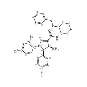 C[C@@H]1C(C(=O)N[C@H]2CCCC[C@@H]2OCc2ccccc2)=NN(c2ccc(Cl)cc2Cl)[C@@H]1c1ccc(Cl)cc1